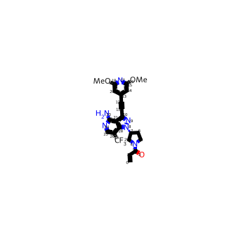 C=CC(=O)N1CC[C@H](n2nc(C#Cc3cc(OC)nc(OC)c3)c3c(N)ncc(C(F)(F)F)c32)C1